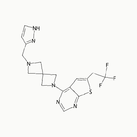 FC(F)(F)Cc1cc2c(N3CC4(CN(Cc5cc[nH]n5)C4)C3)ncnc2s1